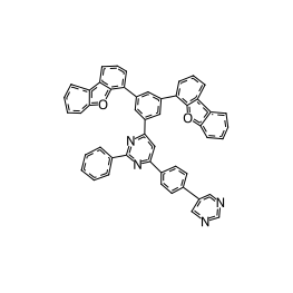 c1ccc(-c2nc(-c3ccc(-c4cncnc4)cc3)cc(-c3cc(-c4cccc5c4oc4ccccc45)cc(-c4cccc5c4oc4ccccc45)c3)n2)cc1